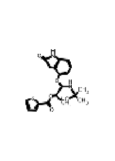 CC(OC(=O)c1cccs1)C(NC(C)(C)C)Oc1cccc2c1CC(=O)N2